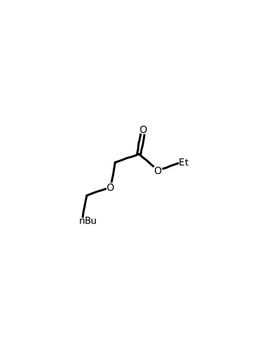 [CH2]CCCCOCC(=O)OCC